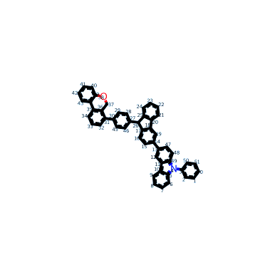 c1ccc(-n2c3ccccc3c3cc(-c4ccc5c(c4)-c4ccccc4C5c4ccc(-c5cccc6c5COc5ccccc5-6)cc4)ccc32)cc1